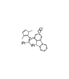 CC1=[C]([Zr+2](=[C](C(C)C)C(C)C)[c]2cccc3c2Cc2ccccc2-3)C(C)C=C1.[Cl-].[Cl-]